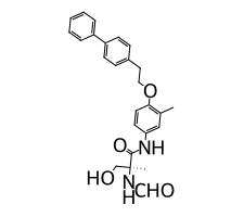 Cc1cc(NC(=O)[C@](C)(CO)NC=O)ccc1OCCc1ccc(-c2ccccc2)cc1